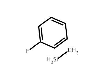 C[SiH3].Fc1ccccc1